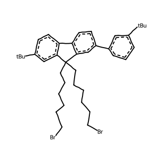 CC(C)(C)c1cccc(-c2ccc3c(c2)C(CCCCCCBr)(CCCCCCBr)c2cc(C(C)(C)C)ccc2-3)c1